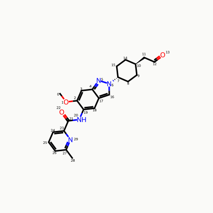 COc1cc2nn([C@H]3CC[C@H](CC=O)CC3)cc2cc1NC(=O)c1cccc(C)n1